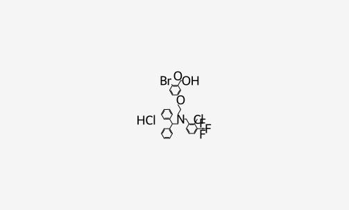 Cl.O=C(O)c1cc(OCCCN(Cc2cccc(C(F)(F)F)c2Cl)CC(c2ccccc2)c2ccccc2)ccc1Br